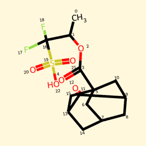 CC(OC(=O)C12CC3CC(C1)C(=O)C(C3)C2)C(F)(F)S(=O)(=O)O